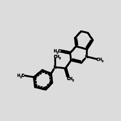 C=C1C(C(=C)N(C)c2cccc(C)c2)=CN(C)C2=CCCC=C12